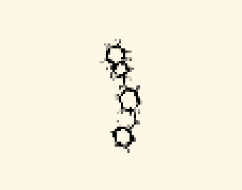 C1=CN(Cc2ccccc2)CCC1c1cc2ccccc2o1